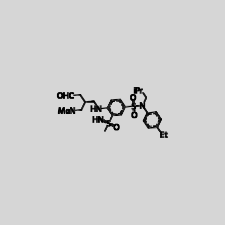 CCc1ccc(N(CC(C)C)S(=O)(=O)c2ccc(NC[C@H](CC=O)CNC)c(S(C)(=N)=O)c2)cc1